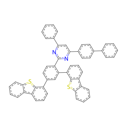 c1ccc(-c2ccc(-c3cc(-c4ccccc4)nc(-c4ccc(-c5cccc6c5sc5ccccc56)cc4-c4cccc5c4sc4ccccc45)n3)cc2)cc1